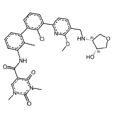 COc1nc(-c2cccc(-c3cccc(NC(=O)c4cn(C)c(=O)n(C)c4=O)c3C)c2Cl)ccc1CN[C@@H]1COC[C@@H]1O